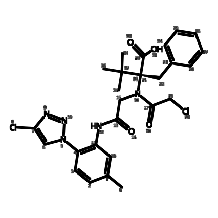 Cc1ccc(-n2cc(Cl)nn2)c(NC(=O)CN(C(=O)CCl)[C@@](Cc2ccccc2)(C(=O)O)C(C)(C)C)c1